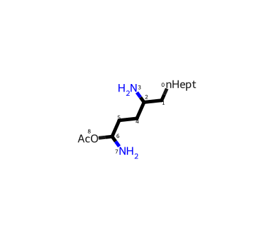 CCCCCCCCC(N)CCC(N)OC(C)=O